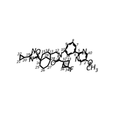 COc1cnc(-c2cccc(N(CC3CCC4(c5nc(C6CC6)no5)CCCC3C4)C(=O)C34CC(F)(C3)C4)c2)nc1